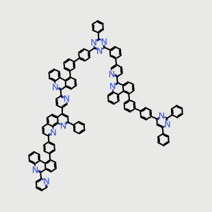 c1ccc(-c2cc(-c3ccc(-c4cccc(-c5cccc6c(-c7ccc(-c8cccc(-c9nc(-c%10ccccc%10)nc(-c%10ccc(-c%11cccc(-c%12cccc%13c(-c%14ccc(-c%15cc(-c%16ccccc%16)nc%16c%15ccc%15ccc(-c%17ccc(-c%18cccc%19c(-c%20ccccn%20)nc%20ccccc%20c%18%19)cc%17)nc%15%16)cn%14)nc%14ccccc%14c%12%13)c%11)cc%10)n9)c8)cn7)nc7ccccc7c56)c4)cc3)nc(-c3ccccc3)n2)cc1